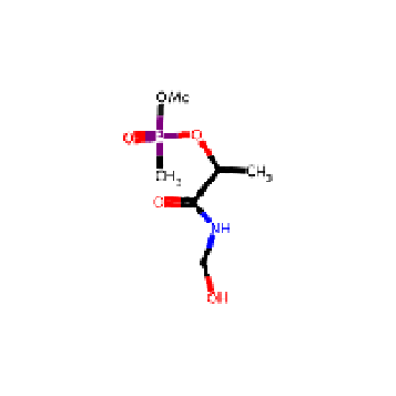 COP(C)(=O)OC(C)C(=O)NCO